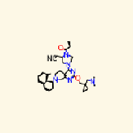 C=CC(=O)N1CCN(c2nc(OCC3(CN(C)C)CC3)nc3c2CCN(c2cccc4cccc(C)c24)C3)CC1CC#N